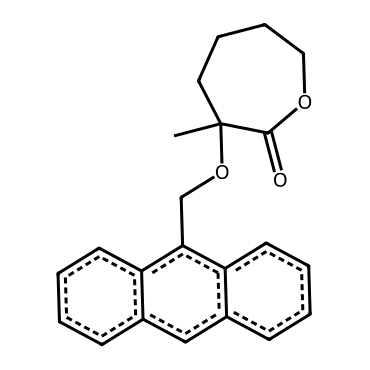 CC1(OCc2c3ccccc3cc3ccccc23)CCCCOC1=O